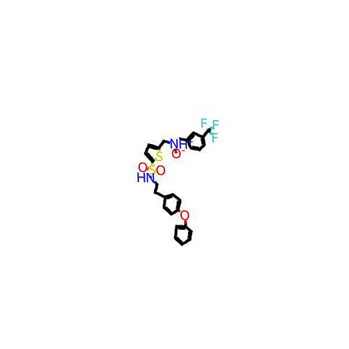 O=S(=O)(NCCc1ccc(Oc2ccccc2)cc1)c1ccc(C[NH+]([O-])Cc2cccc(C(F)(F)F)c2)s1